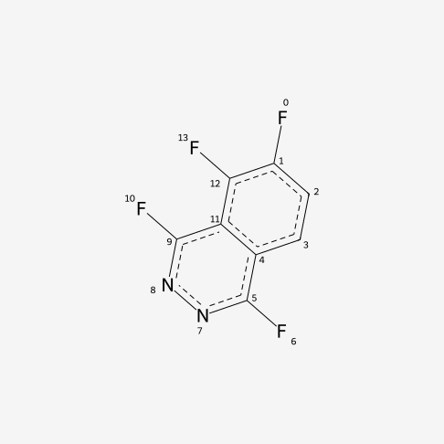 Fc1ccc2c(F)nnc(F)c2c1F